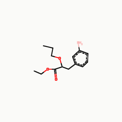 Bc1cccc(CC(OCCC)C(=O)OCC)c1